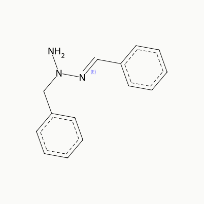 NN(Cc1ccccc1)/N=C/c1ccccc1